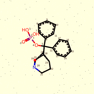 O=P(O)(O)OC(c1ccccc1)(c1ccccc1)C1CN2CCC1CC2